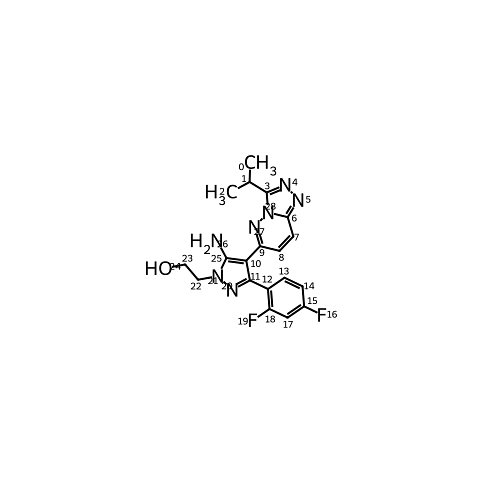 CC(C)c1nnc2ccc(-c3c(-c4ccc(F)cc4F)nn(CCO)c3N)nn12